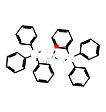 CC(C)C[O][Zr]([O]CC(C)C)([O][Si](c1ccccc1)(c1ccccc1)c1ccccc1)[O][Si](c1ccccc1)(c1ccccc1)c1ccccc1